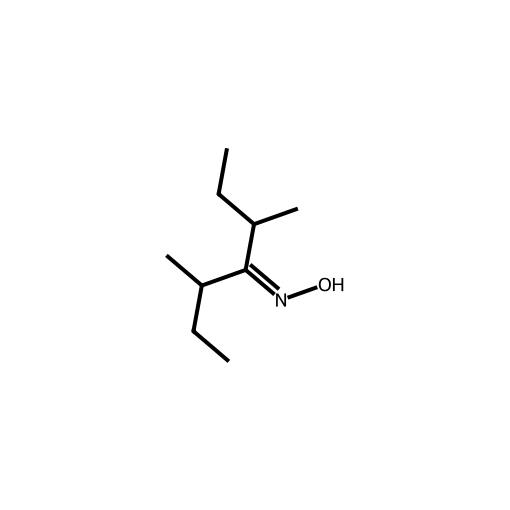 CCC(C)C(=NO)C(C)CC